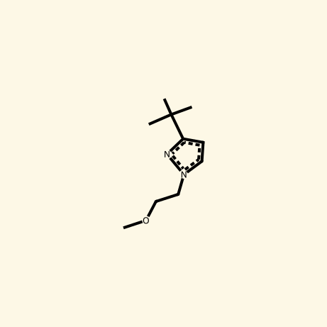 COCCn1ccc(C(C)(C)C)n1